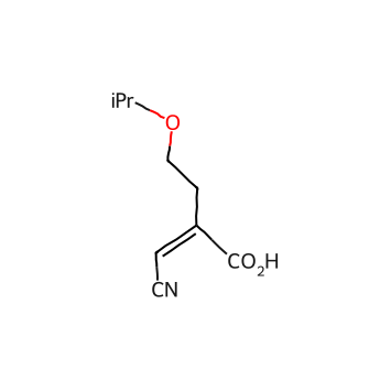 CC(C)OCCC(=CC#N)C(=O)O